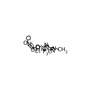 C=CCn1cc(-c2cnc3c(Cc4ccc(C(=O)N5CCN(C(=O)C6CCCCC6)CC5)c(CC)c4)nccn23)c(C(F)(F)F)n1